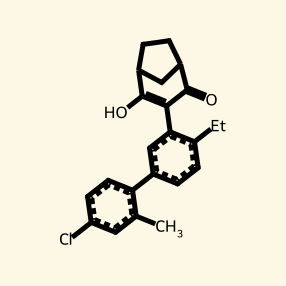 CCc1ccc(-c2ccc(Cl)cc2C)cc1C1=C(O)C2CCC(C2)C1=O